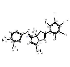 CC12CC(c3c(F)c(F)c(F)c(F)c3F)=NN1C(N)=N/C2=N\c1ccc(C#N)c(C(F)(F)F)c1